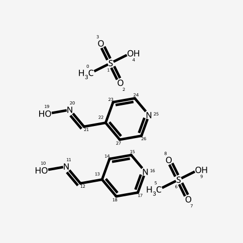 CS(=O)(=O)O.CS(=O)(=O)O.ON=Cc1ccncc1.ON=Cc1ccncc1